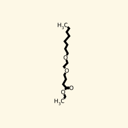 CCCCCCCCOCCOCCCC(=O)OCC